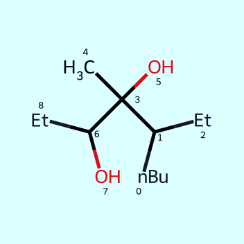 CCCCC(CC)C(C)(O)C(O)CC